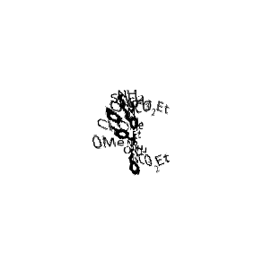 C1CC2CC2C1.CCOC(=O)C(C)n1c(C(=O)NC(N)=S)cc2ccccc21.CCOC(=O)C(C)n1c(C(=O)Nc2nc(-c3cc(OC)c(Cl)cc3OC)c(CC)s2)cc2ccccc21